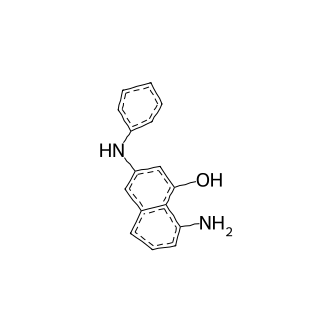 Nc1cccc2cc(Nc3ccccc3)cc(O)c12